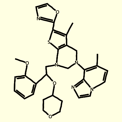 COc1ccccc1C(CN1CN(c2c(C)ccn3ccnc23)Cc2c1sc(-c1ncco1)c2C)OC1CCOCC1